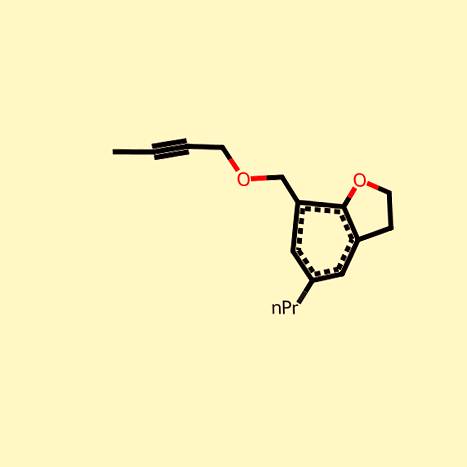 CC#CCOCc1cc(CCC)cc2c1OCC2